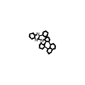 c1ccc(-c2nc3ccccc3nc2-n2c3cccc4c3c3c(cccc32)-c2cccc3cccc-4c23)cc1